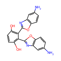 Nc1ccc2oc(-c3c(O)ccc(O)c3-c3nc4cc(N)ccc4o3)nc2c1